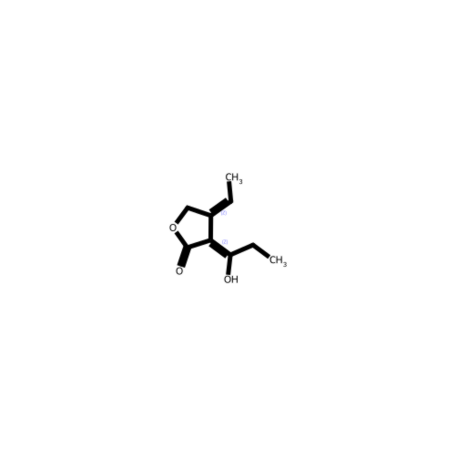 C/C=C1\COC(=O)\C1=C(/O)CC